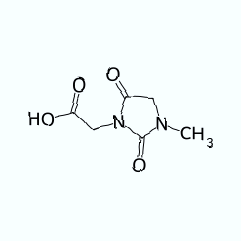 CN1CC(=O)N(CC(=O)O)C1=O